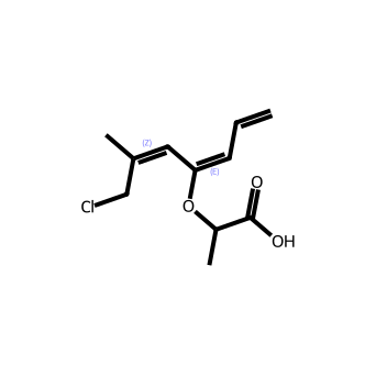 C=C/C=C(\C=C(\C)CCl)OC(C)C(=O)O